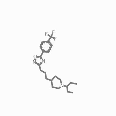 CCC(CC)N1CCC(CCCc2noc(-c3ccc(C(F)(F)F)cc3)n2)CC1